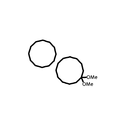 C1CCCCCCCCCCC1.COC1(OC)CCCCCCCCCCC1